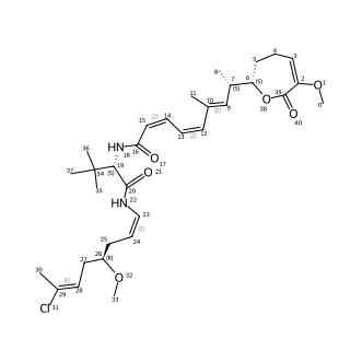 COC1=CCC[C@@H]([C@@H](C)/C=C(C)/C=C\C=C/C(=O)N[C@H](C(=O)N/C=C\C[C@H](C/C=C(\C)Cl)OC)C(C)(C)C)OC1=O